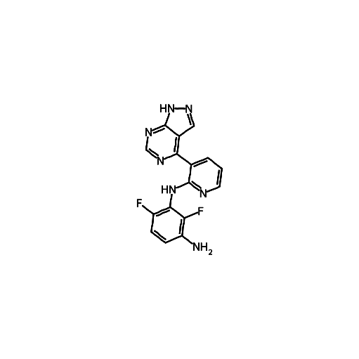 Nc1ccc(F)c(Nc2ncccc2-c2ncnc3[nH]ncc23)c1F